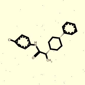 CC(C(=O)Nc1ccc(Cl)cc1)[C@H]1CC[C@@H](c2ccccc2)CC1